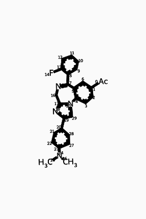 CC(=O)c1ccc2c(c1)C(c1ccccc1F)=NCc1nc(-c3ccc(N(C)C)cc3)cn1-2